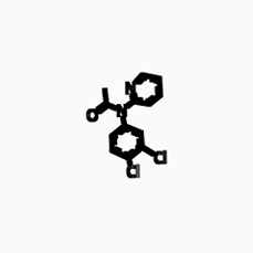 CC(=O)N(c1ccc(Cl)c(Cl)c1)c1ccccn1